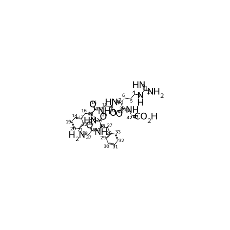 N=C(N)NCCC[C@@H](NC(=O)CNC(=O)[C@H](Cc1ccccc1)NC(=O)[C@@H](Cc1ccccc1)NC(=O)CN)C(=O)NCC(=O)O